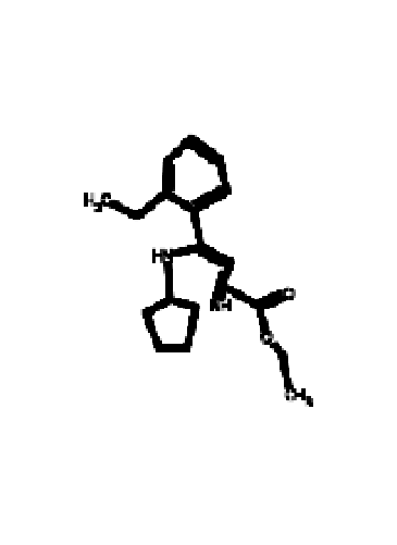 CCOC(=O)C(=N)/C=C(\NC1CCCC1)c1ccccc1CC